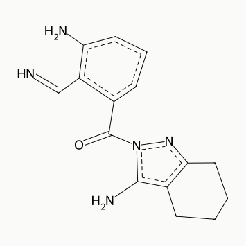 N=Cc1c(N)cccc1C(=O)n1nc2c(c1N)CCCC2